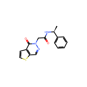 C[C@H](NC(=O)Cn1ncc2sccc2c1=O)c1ccccc1